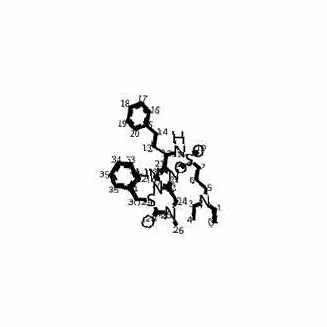 CCN(CC)CCCS(=O)(=O)N[C@H](CCc1ccccc1)c1nc(CN(C)C(=O)SCc2ccccc2)n[nH]1